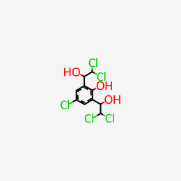 Oc1c(C(O)C(Cl)Cl)cc(Cl)cc1C(O)C(Cl)Cl